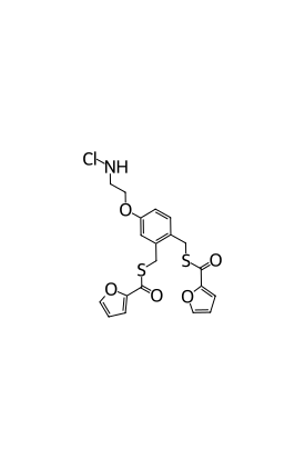 O=C(SCc1ccc(OCCNCl)cc1CSC(=O)c1ccco1)c1ccco1